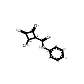 O=C1C(=O)C(C(=O)Nc2ccccc2)C1Cl